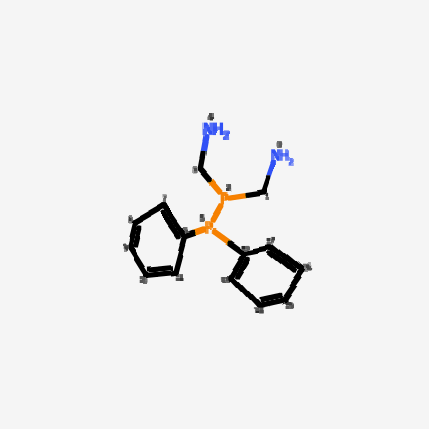 NCP(CN)P(c1ccccc1)c1ccccc1